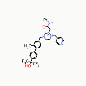 Cc1cc(CN2CCN(Cc3ccncc3)[C@H](CC(=O)NC(C)C)C2)ccc1-c1ccc(C(O)(C(F)(F)F)C(F)(F)F)cc1